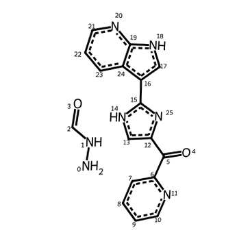 NNC=O.O=C(c1ccccn1)c1c[nH]c(-c2c[nH]c3ncccc23)n1